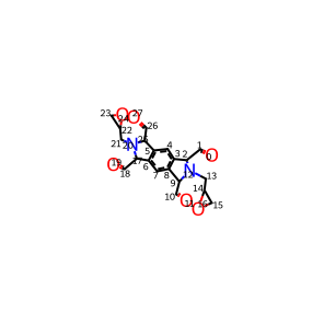 O=CC1c2cc3c(cc2C(C=O)N1CC1CO1)C(C=O)N(CC1CO1)C3C=O